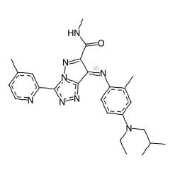 CCN(CC(C)C)c1ccc(/N=C2/C(C(=O)NC)=Nn3c2nnc3-c2cc(C)ccn2)c(C)c1